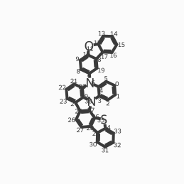 c1ccc2c(c1)N(c1ccc3oc4ccccc4c3c1)c1cccc3c4ccc5c6ccccc6sc5c4n-2c13